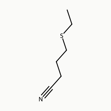 CCSCCCC#N